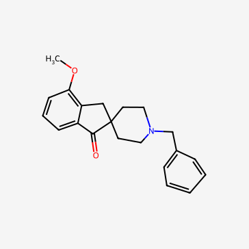 COc1cccc2c1CC1(CCN(Cc3ccccc3)CC1)C2=O